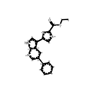 CCOC(=O)c1nc(-c2c[nH]c3ncc(-c4ccccc4)cc23)cs1